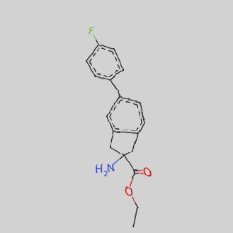 CCOC(=O)C1(N)Cc2ccc(-c3ccc(F)cc3)cc2C1